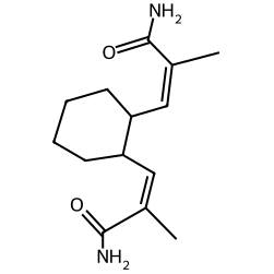 CC(=CC1CCCCC1C=C(C)C(N)=O)C(N)=O